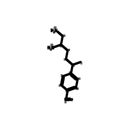 COc1ccc(C(C)CCC(N)CN)cc1